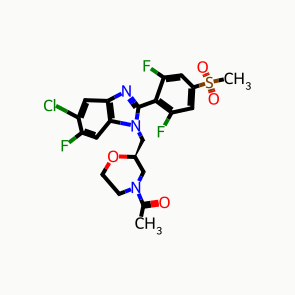 CC(=O)N1CCO[C@@H](Cn2c(-c3c(F)cc(S(C)(=O)=O)cc3F)nc3cc(Cl)c(F)cc32)C1